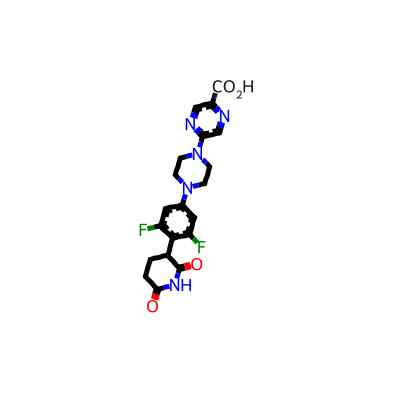 O=C1CCC(c2c(F)cc(N3CCN(c4cnc(C(=O)O)cn4)CC3)cc2F)C(=O)N1